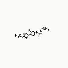 CSc1ncc(-c2ccc(N3C[C@H](CN)OC3=O)cc2F)cn1